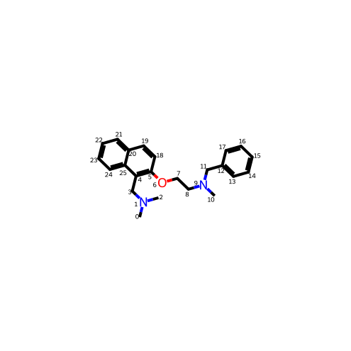 CN(C)Cc1c(OCCN(C)Cc2ccccc2)ccc2ccccc12